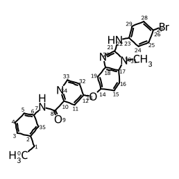 CCc1cccc(NC(=O)c2cc(Oc3ccc4c(c3)nc(Nc3ccc(Br)cc3)n4C)ccn2)c1